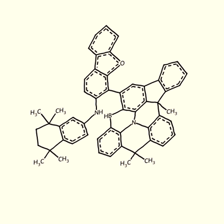 CC1(C)CCC(C)(C)c2cc(Nc3ccc4c(oc5ccccc54)c3-c3cc4c5c6c3Bc3cccc7c3N6c3c(cccc3C5(C)c3ccccc3-4)C7(C)C)ccc21